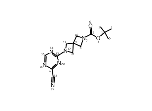 CC(C)(C)OC(=O)N1CC2(C1)CN(c1ncnc(C#N)n1)C2